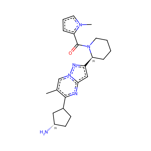 Cc1cn2nc([C@@H]3CCCCN3C(=O)c3cccn3C)cc2nc1C1CC[C@H](N)C1